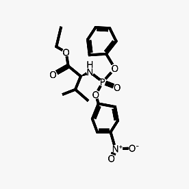 CCOC(=O)[C@@H](NP(=O)(Oc1ccccc1)Oc1ccc([N+](=O)[O-])cc1)C(C)C